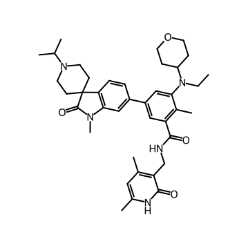 CCN(c1cc(-c2ccc3c(c2)N(C)C(=O)C32CCN(C(C)C)CC2)cc(C(=O)NCc2c(C)cc(C)[nH]c2=O)c1C)C1CCOCC1